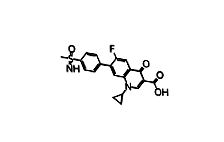 CS(=N)(=O)c1ccc(-c2cc3c(cc2F)c(=O)c(C(=O)O)cn3C2CC2)cc1